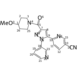 COC1CCN(C(=O)c2cc(-c3ccc(C#N)cn3)n(-c3cccnc3)n2)CC1